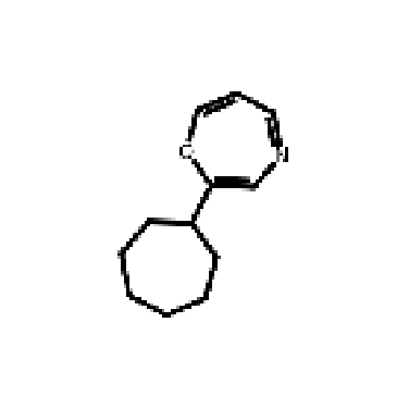 C1=COC([C]2CCCCCC2)=CN=C1